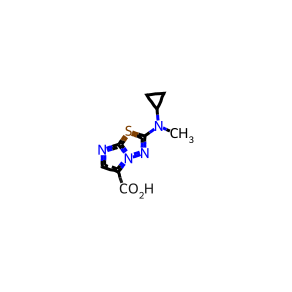 CN(c1nn2c(C(=O)O)cnc2s1)C1CC1